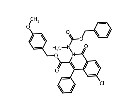 COc1ccc(COC(=O)c2c(-c3ccccc3)c3cc(Cl)ccc3c(=O)n2N(C)C(=O)OCc2ccccc2)cc1